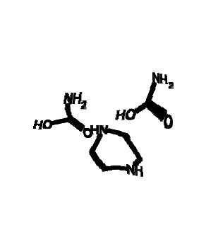 C1CNCCN1.NC(=O)O.NC(=O)O